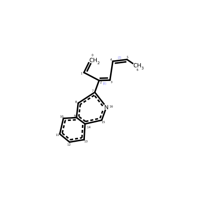 C=C/C(=C\C=C/C)c1cc2ccccc2cn1